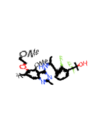 [2H]c1cc2nc(C)nc(NC(C)c3cccc(C(F)(F)C(C)(C)O)c3F)c2c(OC)c1OCCOC